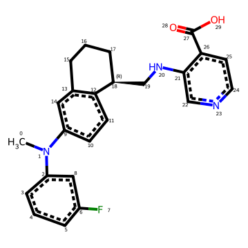 CN(c1cccc(F)c1)c1ccc2c(c1)CCC[C@H]2CNc1cnccc1C(=O)O